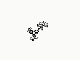 CC(=O)Nc1nc(-c2ccc(CCCNC(NC(=O)O)NC(=O)O)cc2)c(-c2ccc(S(C)(=O)=O)cc2)s1